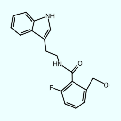 [O]Cc1cccc(F)c1C(=O)NCCc1c[nH]c2ccccc12